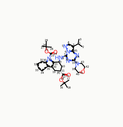 CC(C)c1cnn2c(NC3C[C@H](C(=O)OC(C)(C)C)Cc4c3n(C(=O)OC(C)(C)C)c3ccccc43)nc(N3CCOCC3)nc12